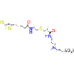 CC(CSCCNC(=O)CCCCC(S)CCS)C(=O)NCCCN(C)CCCS(=O)(=O)O